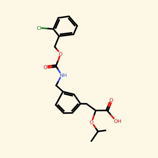 CC(C)OC(Cc1cccc(CNC(=O)OCc2ccccc2Cl)c1)C(=O)O